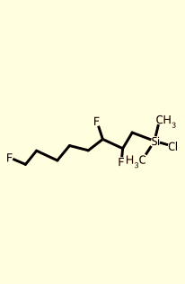 C[Si](C)(Cl)CC(F)C(F)CCCCCF